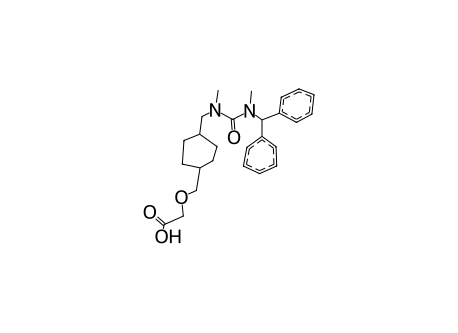 CN(CC1CCC(COCC(=O)O)CC1)C(=O)N(C)C(c1ccccc1)c1ccccc1